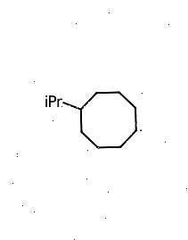 CC(C)C1CCC[CH]CCC1